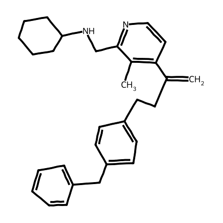 C=C(CCc1ccc(Cc2ccccc2)cc1)c1ccnc(CNC2CCCCC2)c1C